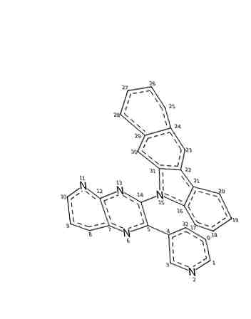 c1cncc(-c2nc3cccnc3nc2-n2c3ccccc3c3cc4ccccc4cc32)c1